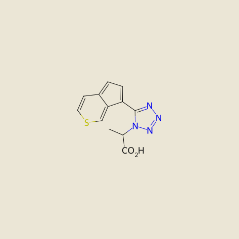 CC(C(=O)O)n1nnnc1-c1ccc2ccscc1-2